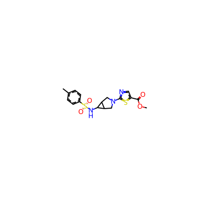 COC(=O)c1cnc(N2CC3C(C2)C3NS(=O)(=O)c2ccc(C)cc2)s1